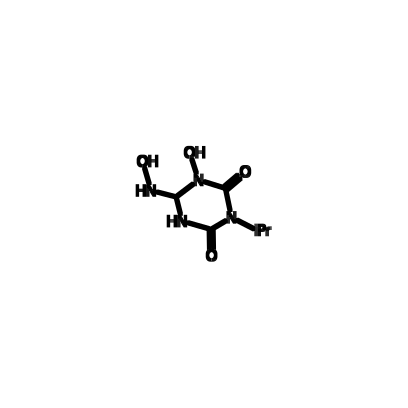 CC(C)N1C(=O)NC(NO)N(O)C1=O